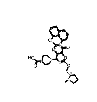 Cc1nc2c(N3CCN(C(=O)O)CC3)nc(OC[C@@H]3CCCN3C)nc2c(=O)n1-c1cccc2cccc(Cl)c12